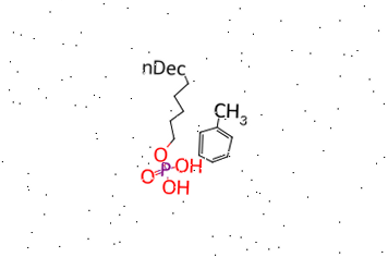 CCCCCCCCCCCCCCCOP(=O)(O)O.Cc1ccccc1